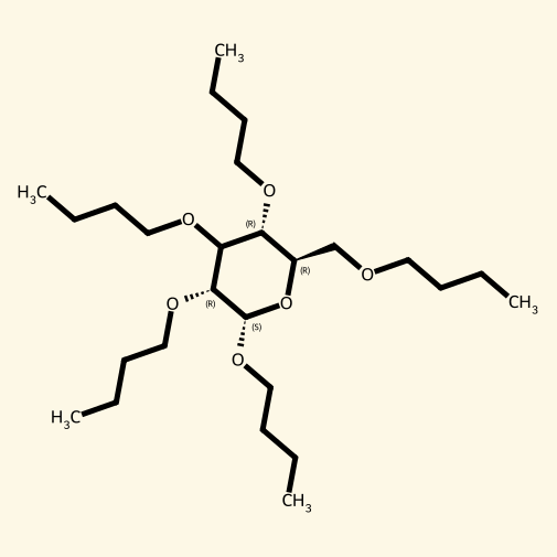 CCCCOC[C@H]1O[C@H](OCCCC)[C@H](OCCCC)C(OCCCC)[C@@H]1OCCCC